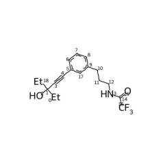 CCC(O)(C#Cc1cccc(CCCNC(=O)C(F)(F)F)c1)CC